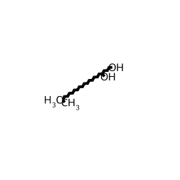 CC(C)CCCCCCCCCCCCCCCC(O)CCCO